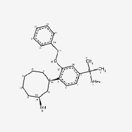 CCCCCCC(C)(C)c1ccc([C@@H]2CCCCC[C@H](O)C2)c(OCc2ccccc2)c1